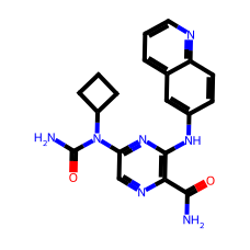 NC(=O)c1ncc(N(C(N)=O)C2CCC2)nc1Nc1ccc2ncccc2c1